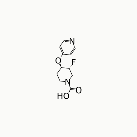 O=C(O)N1CC[C@@H](Oc2ccncc2)[C@H](F)C1